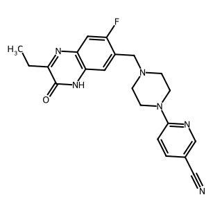 CCc1nc2cc(F)c(CN3CCN(c4ccc(C#N)cn4)CC3)cc2[nH]c1=O